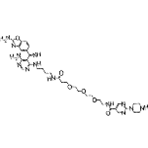 N=C(c1ccc2oc(N)nc2c1)c1c(N)ncnc1NCCCCNC(=O)CCOCCOCCOCCNC(=O)c1cnc(N2CCNCC2)nc1